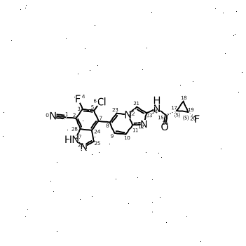 N#Cc1c(F)c(Cl)c(-c2ccc3nc(NC(=O)[C@@H]4C[C@@H]4F)cn3c2)c2cn[nH]c12